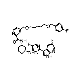 O=C(N[C@@H]1CCC[C@H](Nc2nc(-c3c[nH]c4ncc(F)cc34)ncc2F)C1)c1cc(COCCCCCOCc2ccc(F)cc2)ccn1